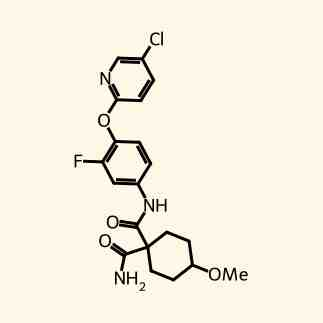 COC1CCC(C(N)=O)(C(=O)Nc2ccc(Oc3ccc(Cl)cn3)c(F)c2)CC1